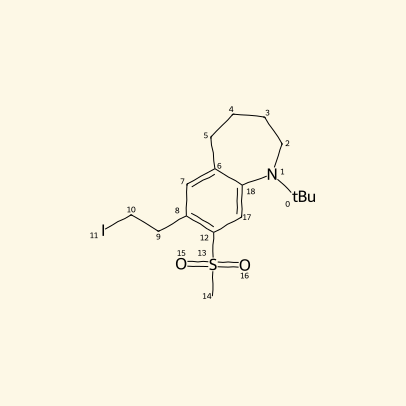 CC(C)(C)N1CCCCc2cc(CCI)c(S(C)(=O)=O)cc21